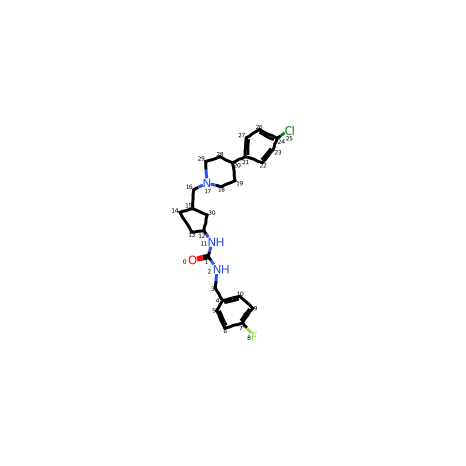 O=C(NCc1ccc(F)cc1)NC1CCC(CN2CCC(c3ccc(Cl)cc3)CC2)C1